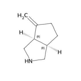 C=C1CC[C@H]2CNC[C@@H]12